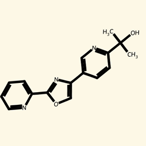 CC(C)(O)c1ccc(-c2coc(-c3ccccn3)n2)cn1